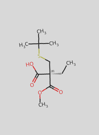 CC[C@@](CSC(C)(C)C)(C(=O)O)C(=O)OC